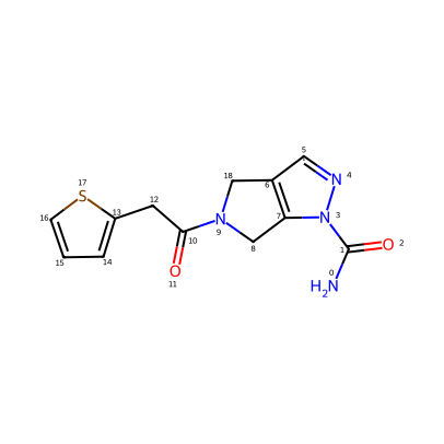 NC(=O)n1n[c]c2c1CN(C(=O)Cc1cccs1)C2